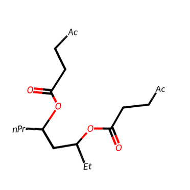 CCCC(CC(CC)OC(=O)CCC(C)=O)OC(=O)CCC(C)=O